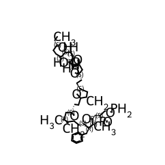 C=C1C[C@H](CC[C@@]23CC4OC5[C@@H](O2)[C@H]2O[C@@H](CC)CC[C@@H]2O[C@H]5[C@H]4O3)OC1CC[C@H]1C[C@@H](C)C(=C)C(C[C@@H]2O[C@H](C[C@@H](COP)P=O)[C@H](C)[C@H]2Cc2ccccc2)O1